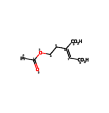 CC(C)C(=O)OCCC(=CC(=O)O)C(=O)O